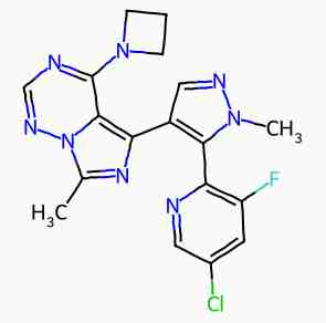 Cc1nc(-c2cnn(C)c2-c2ncc(Cl)cc2F)c2c(N3CCC3)ncnn12